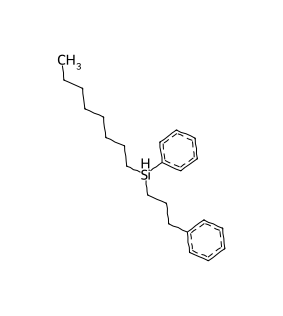 CCCCCCCC[SiH](CCCc1ccccc1)c1ccccc1